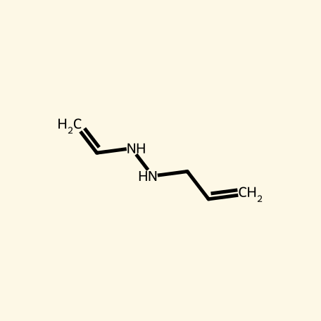 C=CCNNC=C